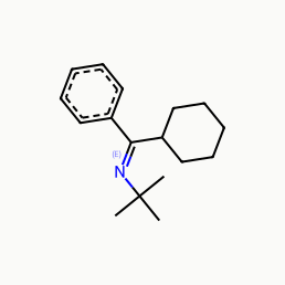 CC(C)(C)/N=C(/c1ccccc1)C1CCCCC1